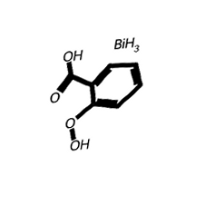 O=C(O)c1ccccc1OO.[BiH3]